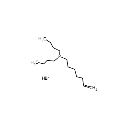 Br.C=CCCCCCP(CCCC)CCCC